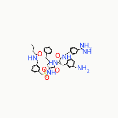 CCCC(=O)NCc1cccc(CS(=O)(=O)N[C@H](CCCc2ccccc2)C(=O)N[C@@H](Cc2cccc(CN)c2)C(=O)NCc2ccc(C(=N)N)cc2)c1